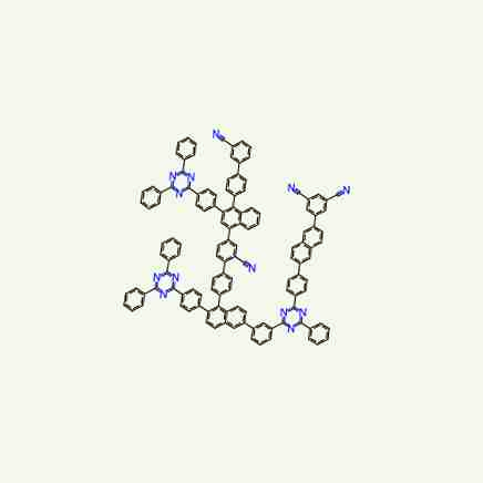 N#Cc1cccc(-c2ccc(-c3c(-c4ccc(-c5nc(-c6ccccc6)nc(-c6ccccc6)n5)cc4)cc(-c4ccc(-c5ccc(-c6c(-c7ccc(-c8nc(-c9ccccc9)nc(-c9ccccc9)n8)cc7)ccc7cc(-c8cccc(-c9nc(-c%10ccccc%10)nc(-c%10ccc(-c%11ccc%12cc(-c%13cc(C#N)cc(C#N)c%13)ccc%12c%11)cc%10)n9)c8)ccc67)cc5)c(C#N)c4)c4ccccc34)cc2)c1